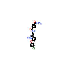 NC(=O)c1ccc(C(=O)NCCc2c[nH]c3c(Oc4ccc(Cl)cc4)cccc23)cc1